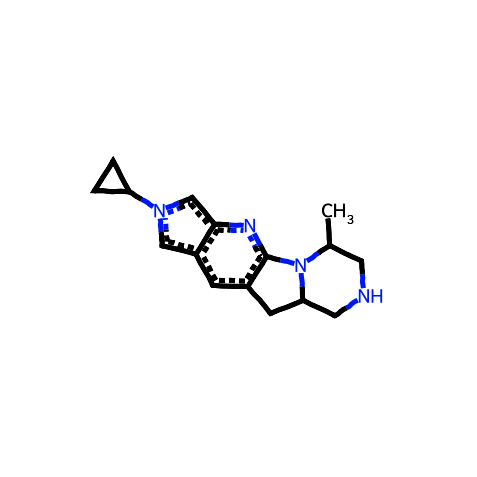 CC1CNCC2Cc3cc4cn(C5CC5)cc4nc3N12